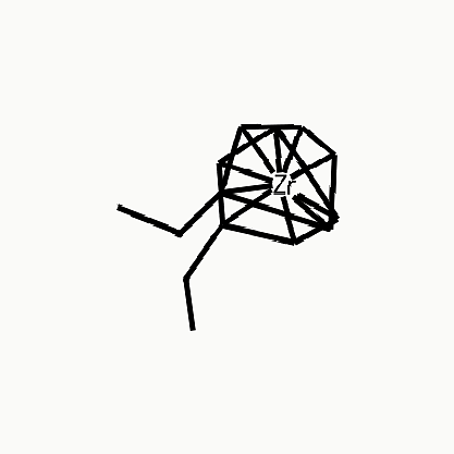 CC[C]12[CH]3[CH]4[CH]5[CH]1[Zr]45321678[CH]2[CH]1[CH]6[C]7(CC)[CH]28